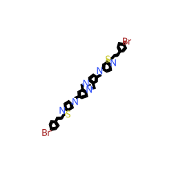 Brc1ccc(/C=C/c2nc3ccc(/N=C/c4ccc5c(c4)CN4CN5Cc5cc(/C=N/c6ccc7nc(/C=C/c8ccc(Br)cc8)sc7c6)ccc54)cc3s2)cc1